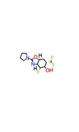 O[C@H]1[C@@H](F)[C@H]2N=C(N3CCCC3)O[C@H]2C[C@@H]1C(F)F